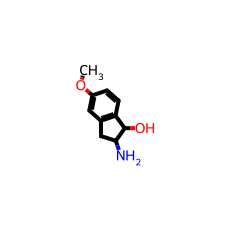 COc1ccc2c(c1)CC(N)C2O